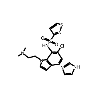 CN(C)CCn1ccc2ccc(Cl)c(NS(=O)(=O)c3ccsn3)c21.c1c[nH]cn1